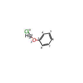 [Cl][Hg][O]c1ccccc1